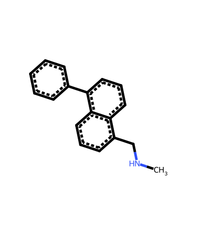 CNCc1cccc2c(-c3ccccc3)cccc12